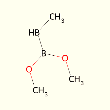 CBB(OC)OC